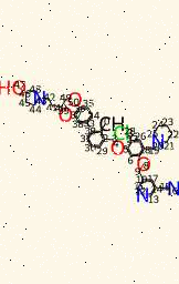 Cc1c(COc2cc(OCc3cncc(C#N)c3)c(CN3CCCCC3)cc2Cl)cccc1-c1ccc2c(c1)OC(CCN1CC[C@@H](O)C1)CO2